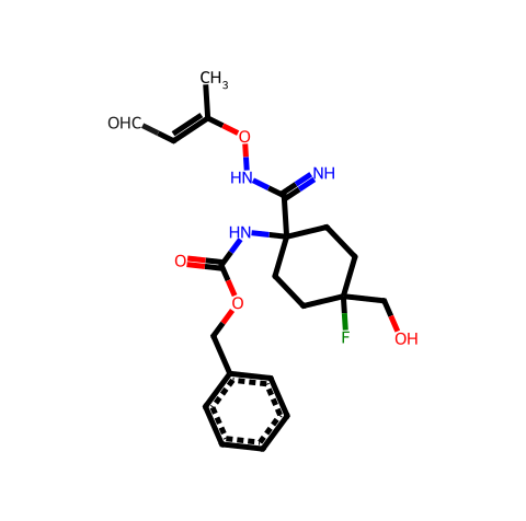 CC(=CC=O)ONC(=N)C1(NC(=O)OCc2ccccc2)CCC(F)(CO)CC1